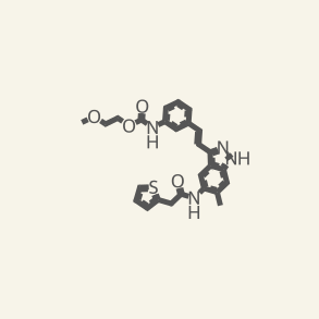 COCCOC(=O)Nc1cccc(/C=C/c2n[nH]c3cc(C)c(NC(=O)Cc4cccs4)cc23)c1